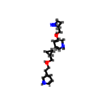 c1cncc(CCOC[C@H]2C[C@@H]2c2cncc(OC[C@@H]3CCN3)c2)c1